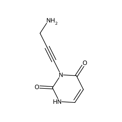 NCC#Cn1c(=O)cc[nH]c1=O